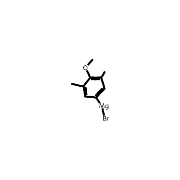 COc1c(C)c[c]([Mg][Br])cc1C